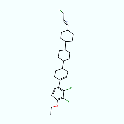 CCOc1ccc(C2=CCC(C3CCC(C4CCC(/C=C/CF)CC4)CC3)CC2)c(F)c1F